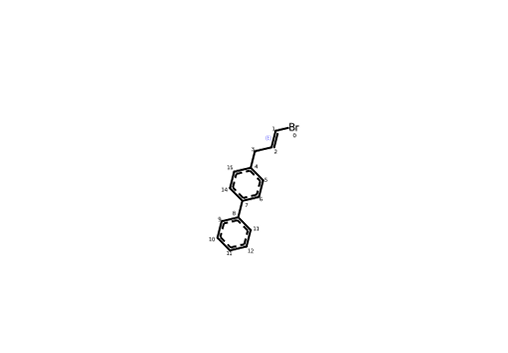 Br/C=C/Cc1ccc(-c2ccccc2)cc1